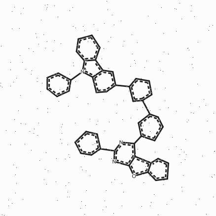 c1ccc(-c2nc(-c3cccc(-c4cccc(-c5ccc6c(c5)c5ccccc5n6-c5ccccc5)c4)c3)c3c(n2)oc2ccccc23)cc1